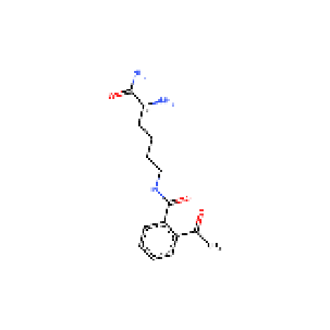 CC(=O)c1ccccc1C(=O)NCCCC[C@H](N)C(N)=O